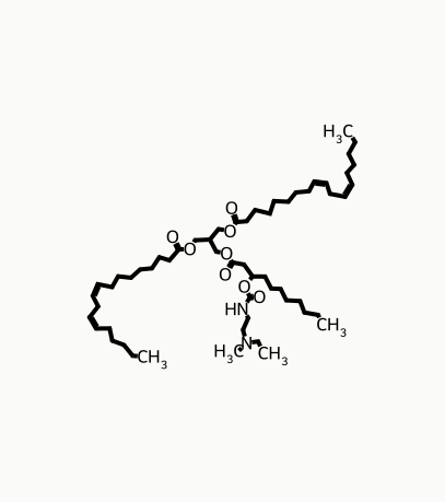 CCCCC/C=C\C/C=C\CCCCCCCC(=O)OCC(COC(=O)CCCCCCC/C=C\C/C=C\CCCCC)COC(=O)CC(CCCCCCCC)OC(=O)NCCN(C)CC